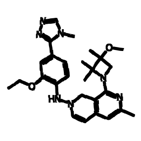 CCOc1cc(-c2nncn2C)ccc1NN1C=Cc2cc(C)nc(N3CC(C)(OC)C3(C)C)c2C1